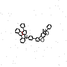 c1ccc(-c2ccc(N(c3ccc(-c4ccc5oc6cc7oc(-c8ccccc8)nc7cc6c5c4)cc3)c3ccccc3-c3ccc4ccccc4c3)cc2)cc1